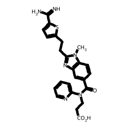 Cn1c(CCc2ccc(C(=N)N)s2)nc2cc(C(=O)N(CCC(=O)O)c3ccccn3)ccc21